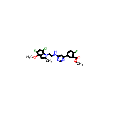 COC(=O)c1cc(-c2cc(NCCn3c(C)cc4c(OC)c(F)cc(Cl)c43)ncn2)ccc1F